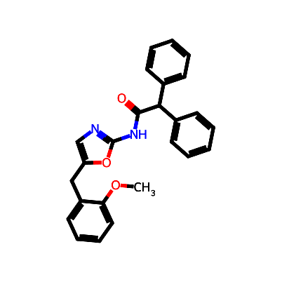 COc1ccccc1Cc1cnc(NC(=O)C(c2ccccc2)c2ccccc2)o1